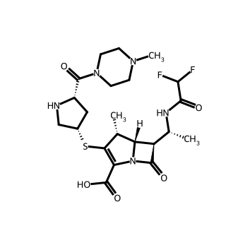 C[C@@H](NC(=O)C(F)F)[C@H]1C(=O)N2C(C(=O)O)=C(S[C@@H]3CN[C@H](C(=O)N4CCN(C)CC4)C3)[C@H](C)[C@H]12